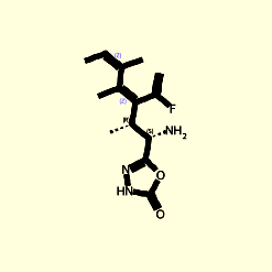 C=C(F)/C(=C(C)\C(C)=C/C)[C@@H](C)[C@H](N)c1n[nH]c(=O)o1